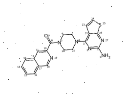 Nc1nc(N2CCN(C(=O)c3cc4ccccc4cn3)CC2)c2ccsc2n1